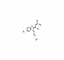 CC(=O)N/C=C/C=CC1=C(C#N)C(=C(C#N)C#N)OC1(C)c1ccc(OC(C)=O)cc1